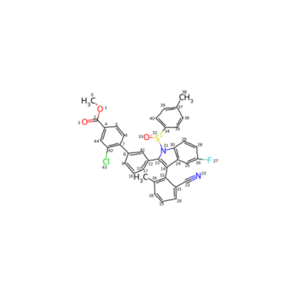 COC(=O)c1ccc(-c2cccc(-c3c(-c4c(C)cccc4C#N)c4cc(F)ccc4n3[S+]([O-])c3ccc(C)cc3)c2)c(Cl)c1